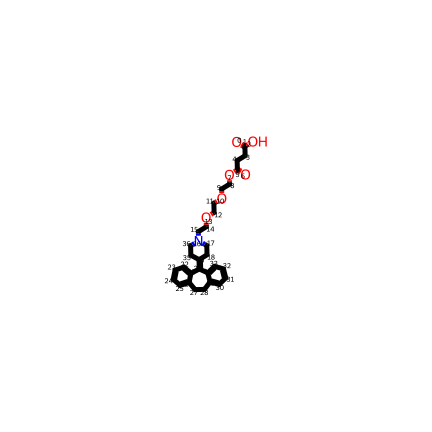 O=C(O)CCC(=O)OCCOCCOCCN1CCC(=C2c3ccccc3CCc3ccccc32)CC1